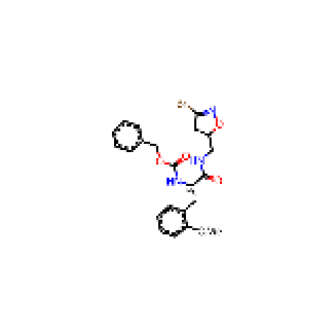 COc1ccccc1C[C@H](NC(=O)OCc1ccccc1)C(=O)NCC1CC(Br)=NO1